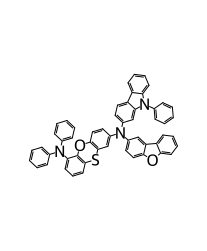 c1ccc(N(c2ccccc2)c2cccc3c2Oc2ccc(N(c4ccc5oc6ccccc6c5c4)c4ccc5c6ccccc6n(-c6ccccc6)c5c4)cc2S3)cc1